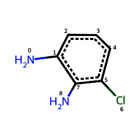 Nc1cc[c]c(Cl)c1N